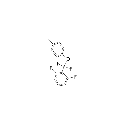 Cc1ccc(OC(F)(F)c2c(F)cccc2F)cc1